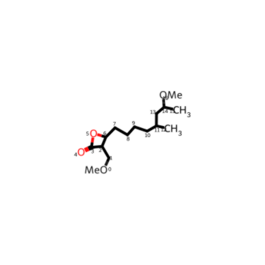 COCC1C(=O)OC1CCCCC(C)CC(C)OC